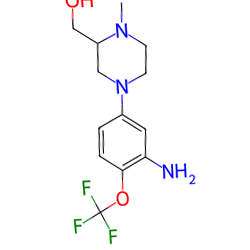 CN1CCN(c2ccc(OC(F)(F)F)c(N)c2)CC1CO